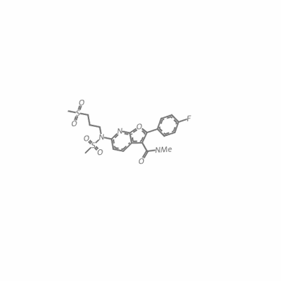 CNC(=O)c1c(-c2ccc(F)cc2)oc2nc(N(CCCS(C)(=O)=O)S(C)(=O)=O)ccc12